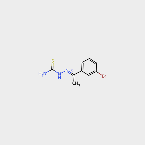 C/C(=N\NC(N)=S)c1cccc(Br)c1